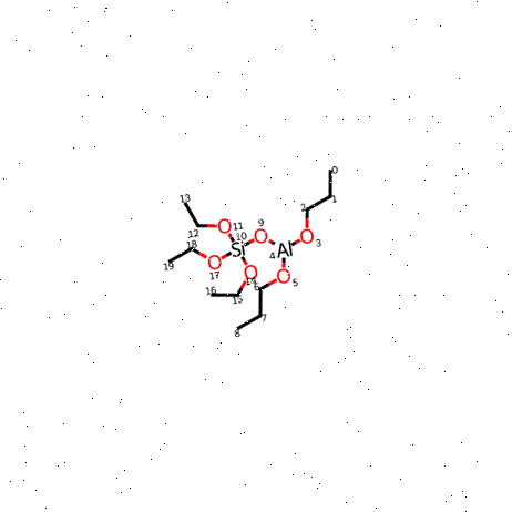 CCC[O][Al]([O]CCC)[O][Si](OCC)(OCC)OCC